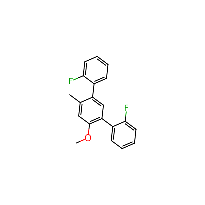 COc1cc(C)c(-c2ccccc2F)cc1-c1ccccc1F